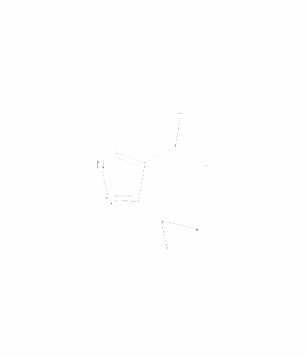 FC(F)C1=C[N]N=C1C1CC1